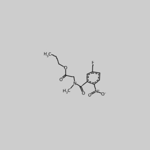 CCCOC(=O)CN(C)C(=O)c1cc(F)ccc1[N+](=O)[O-]